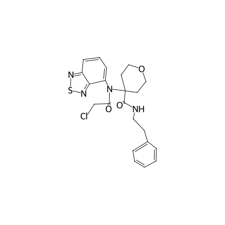 O=C(CCl)N(c1cccc2nsnc12)C1(C(=O)NCCc2ccccc2)CCOCC1